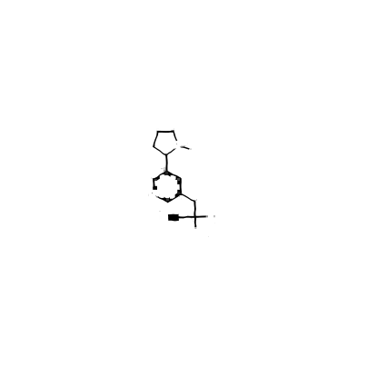 C#CC(C)(O)Cc1cncc(C2CCCN2C)c1